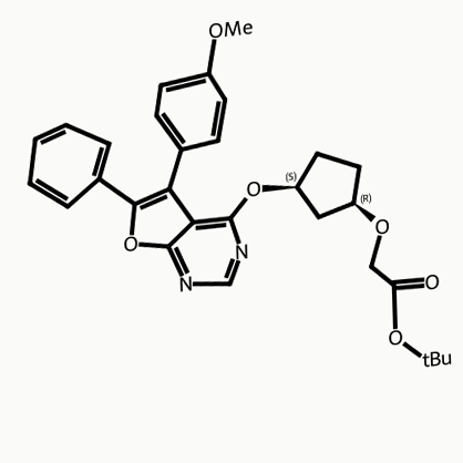 COc1ccc(-c2c(-c3ccccc3)oc3ncnc(O[C@H]4CC[C@@H](OCC(=O)OC(C)(C)C)C4)c23)cc1